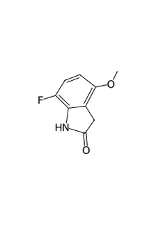 COc1ccc(F)c2c1CC(=O)N2